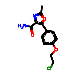 Cc1nc(C(N)=O)c(-c2ccc(OCCCl)cc2)o1